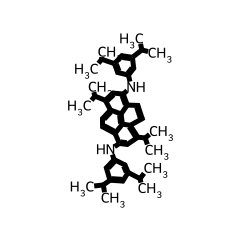 CC(C)c1cc(Nc2cc(C(C)C)c3ccc4c(Nc5cc(C(C)C)cc(C(C)C)c5)cc(C(C)C)c5ccc2c3c45)cc(C(C)C)c1